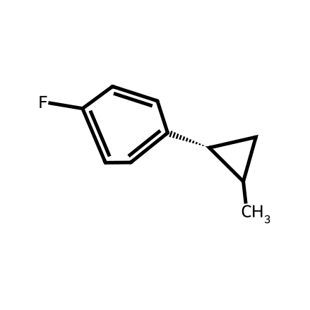 CC1C[C@H]1c1ccc(F)cc1